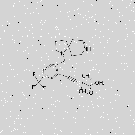 CC(C)(C#Cc1cc(C(F)(F)F)ccc1CN1CCCC12CCNCC2)C(=O)O